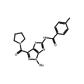 Cc1ccc(C(=O)Nc2nc3c(s2)c(C(=O)N2CCCC2)nn3C(C)(C)C)cc1